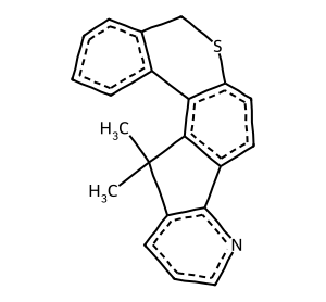 CC1(C)c2cccnc2-c2ccc3c(c21)-c1ccccc1CS3